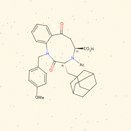 COc1ccc(CN2C(=O)[C@@H](CC34CC5CC(CC(C5)C3)C4)N(C(C)=O)[C@H](C(=O)O)CC(=O)c3ccccc32)cc1